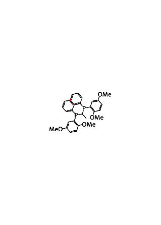 COc1ccc(OC)c(P(c2ccccc2)C(C)P(c2ccccc2)c2cc(OC)ccc2OC)c1